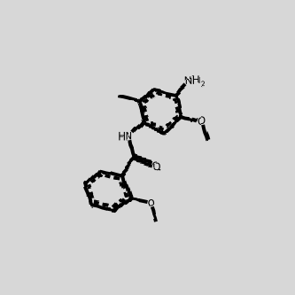 COc1cc(NC(=O)c2ccccc2OC)c(C)cc1N